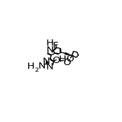 COCCOc1cnc(N)nc1-c1c[nH]c2c(F)cc(C#CC3(O)CCCC3)cc12